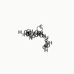 CCN(C)S(=O)(=O)Nc1ccc(F)c(Oc2ccc3ncn(C4CCCCCCCCCCC5CN(C(=O)CN6CCC(c7ccc(NC8CCC(=O)NC8=O)cc7F)CC6)CC54)c(=O)c3c2)c1C#N